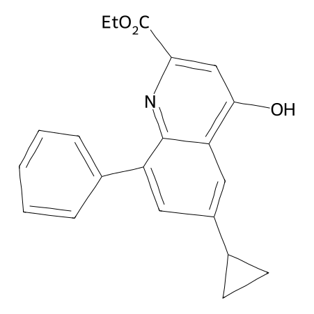 CCOC(=O)c1cc(O)c2cc(C3CC3)cc(-c3ccccc3)c2n1